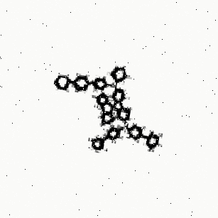 C1=CCCC(c2ccc(-c3ccc(N(c4ccccc4)c4ccc5c(c4)C4(c6ccccc6-c6ccccc64)c4cc(N(c6ccc(-c7ccccc7)cc6)c6ccc(-c7ccccc7)cc6)ccc4-5)cc3)cc2)=C1